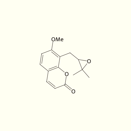 COc1ccc2ccc(=O)oc2c1CC1OC1(C)C